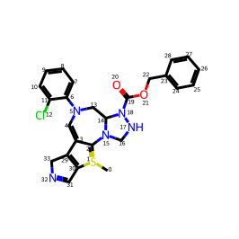 CS1=C2C(=CN(c3ccccc3Cl)CC3N2CNN3C(=O)OCc2ccccc2)C2=C1C=NC2